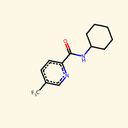 O=C(NC1CCCCC1)c1ccc(C(F)(F)F)cn1